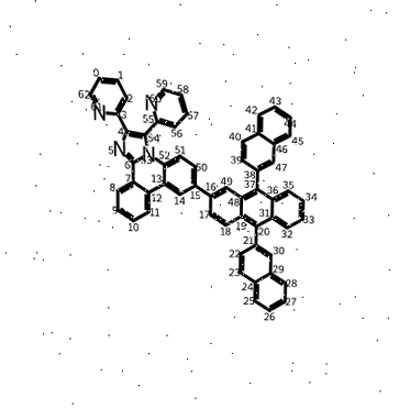 c1ccc(-c2nc3c4ccccc4c4cc(-c5ccc6c(-c7ccc8ccccc8c7)c7ccccc7c(-c7ccc8ccccc8c7)c6c5)ccc4n3c2-c2ccccn2)nc1